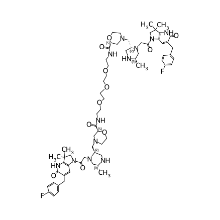 C[C@@H]1CN(CC(=O)N2CC(C)(C)c3[nH]c(=O)c(Cc4ccc(F)cc4)cc32)[C@@H](CN2CCO[C@H](C(=O)NCCOCCOCCOCCNC(=O)[C@@H]3CN(C[C@H]4CN[C@H](C)CN4CC(=O)N4CC(C)(C)c5[nH]c(=O)c(Cc6ccc(F)cc6)cc54)CCO3)C2)CN1